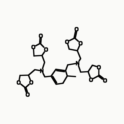 CC1CC=C(CN(CC2COC(=O)O2)CC2COC(=O)O2)C=C1CN(CC1COC(=O)O1)CC1COC(=O)O1